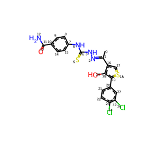 C/C(=N\NC(=S)Nc1ccc(C(N)=O)cc1)c1csc(-c2ccc(Cl)c(Cl)c2)c1O